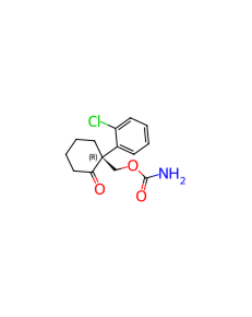 NC(=O)OC[C@]1(c2ccccc2Cl)CCCCC1=O